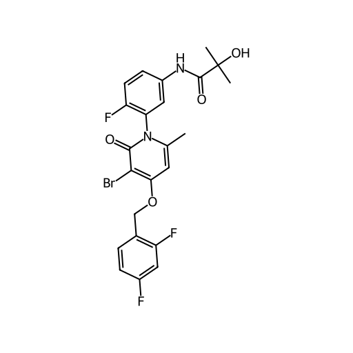 Cc1cc(OCc2ccc(F)cc2F)c(Br)c(=O)n1-c1cc(NC(=O)C(C)(C)O)ccc1F